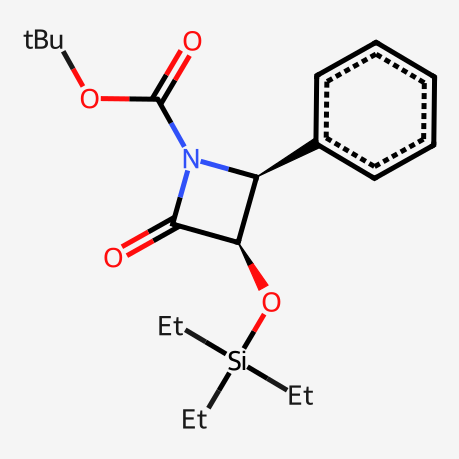 CC[Si](CC)(CC)O[C@H]1C(=O)N(C(=O)OC(C)(C)C)[C@H]1c1ccccc1